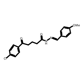 COc1ccc(C=NNC(=O)CCCC(=O)c2ccc(Cl)cc2)cc1